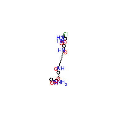 Nc1nnc(-c2ccccc2O)cc1OCCc1ccc(C(=O)NCCCCCCCCCCCC(=O)NCc2ccc(S(=O)(=O)Nc3cccc4c(Cl)c[nH]c34)cc2)cc1